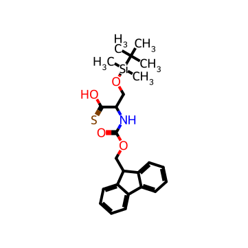 CC(C)(C)[Si](C)(C)OCC(NC(=O)OCC1c2ccccc2-c2ccccc21)C(O)=S